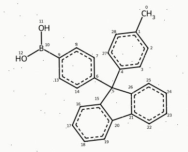 Cc1ccc(C2(c3ccc(B(O)O)cc3)c3ccccc3-c3ccccc32)cc1